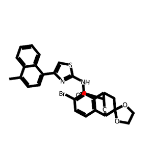 Cc1ccc(-c2csc(NC(=O)C3CC4c5ccc(Br)cc5C3CC43OCCO3)n2)c2ccccc12